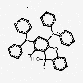 CC1(C)c2ccccc2Oc2c(P(c3ccccc3)c3ccccc3)cc(P(c3ccccc3)c3ccccc3)c(Cl)c21